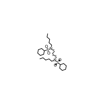 CCCCCN(SSSN(CCCCC)S(=O)(=O)C1CCCCC1)S(=O)(=O)C1CCCCC1